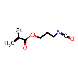 C=C(CC)C(=O)OCCCN=C=O